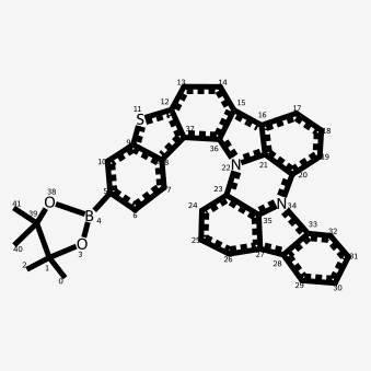 CC1(C)OB(c2ccc3c(c2)sc2ccc4c5cccc6c5n(c5cccc7c8ccccc8n6c75)c4c23)OC1(C)C